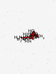 CCCC[C@H](NC(C)=O)C(=O)N[C@@H](Cc1ccc(O)cc1)C(=O)N[C@H](C(=O)N1C[C@H](O)C[C@H]1C(=O)N1C2CCCCC2C[C@H]1C(=O)NCC(=O)NCC(=O)NCC(=O)N[C@@H](CCCCN)C(N)=O)C(I)C(C)C